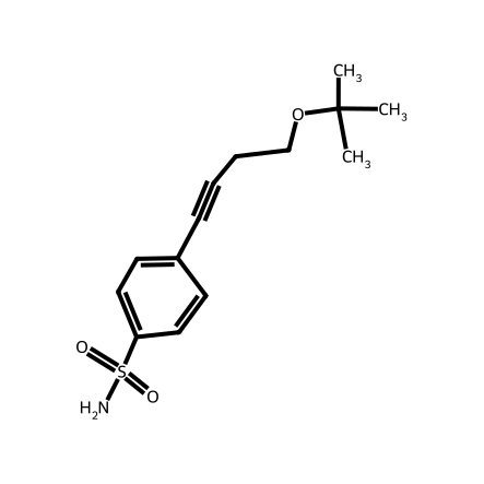 CC(C)(C)OCCC#Cc1ccc(S(N)(=O)=O)cc1